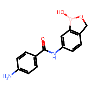 Nc1ccc(C(=O)Nc2ccc3c(c2)B(O)OC3)cc1